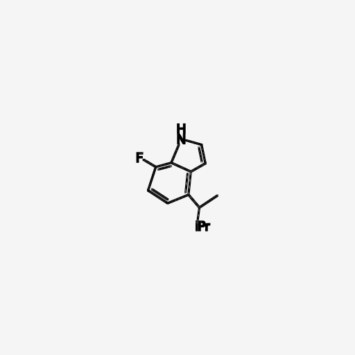 CC(C)C(C)c1ccc(F)c2[nH]ccc12